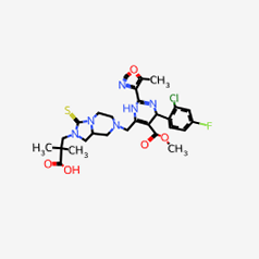 COC(=O)C1=C(CN2CCN3C(=S)N(CC(C)(C)C(=O)O)CC3C2)NC(c2ncoc2C)=NC1c1ccc(F)cc1Cl